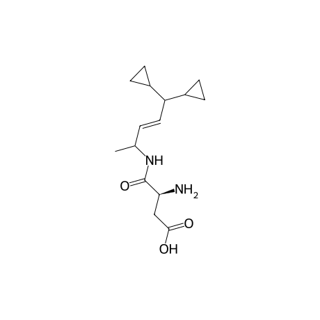 CC(C=CC(C1CC1)C1CC1)NC(=O)[C@@H](N)CC(=O)O